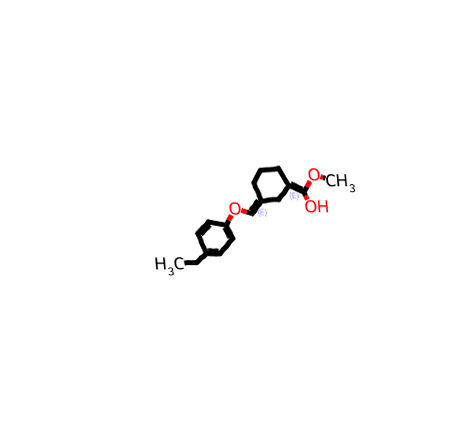 CCc1ccc(O/C=C2\CCC/C(=C(/O)OC)C2)cc1